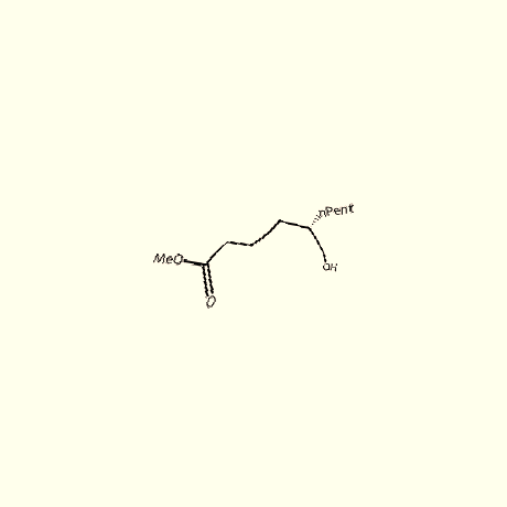 CCCCC[C@H](O)CCCC(=O)OC